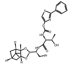 CC(C)C[C@H](NC(=O)[C@@H](NC(=O)Oc1csc(-c2ccccc2)n1)[C@@H](C)O)B1O[C@@H]2C[C@@H]3C[C@@H](C3(C)C)[C@]2(C)O1